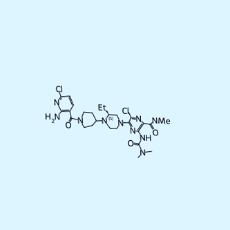 CC[C@H]1CN(c2nc(NC(=O)N(C)C)c(C(=O)NC)nc2Cl)CCN1C1CCN(C(=O)c2ccc(Cl)nc2N)CC1